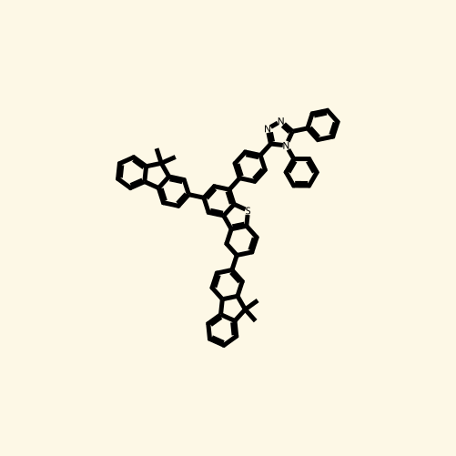 CC1(C)c2ccccc2-c2ccc(-c3cc(-c4ccc(-c5nnc(-c6ccccc6)n5-c5ccccc5)cc4)c4sc5c(c4c3)CC(C3=CC4C(C=C3)c3ccccc3C4(C)C)C=C5)cc21